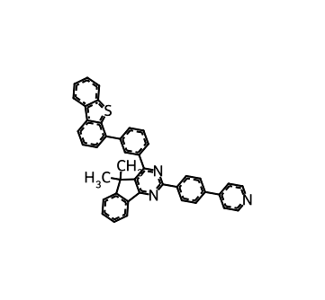 CC1(C)c2ccccc2-c2nc(-c3ccc(-c4ccncc4)cc3)nc(-c3cccc(-c4cccc5c4sc4ccccc45)c3)c21